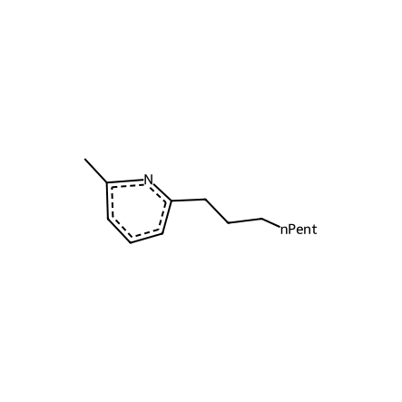 CCCCCCCCc1cccc(C)n1